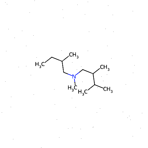 CCC(C)CN(C)CC(C)C(C)C